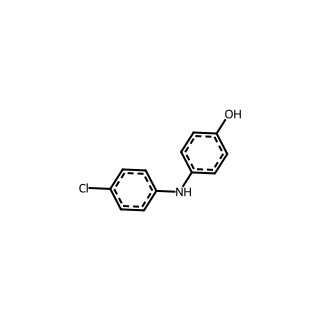 Oc1ccc(Nc2ccc(Cl)cc2)cc1